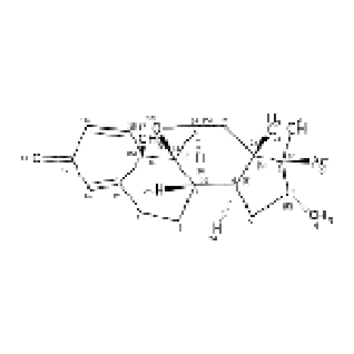 CC(=O)[C@@]1(O)[C@H](C)C[C@H]2[C@@H]3CCC4=CC(=O)C=C[C@]4(C)[C@@]34O[C@H]4C[C@@]21C